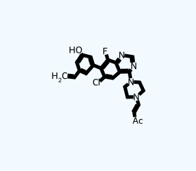 C=Cc1cc(O)cc(-c2c(Cl)cc3c(N4CCN(C=CC(C)=O)CC4)ncnc3c2F)c1